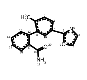 Cc1ccc(-c2ncco2)cc1-c1cc[c]cc1C(N)=O